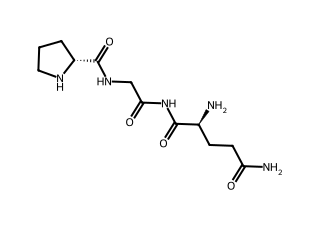 NC(=O)CC[C@H](N)C(=O)NC(=O)CNC(=O)[C@H]1CCCN1